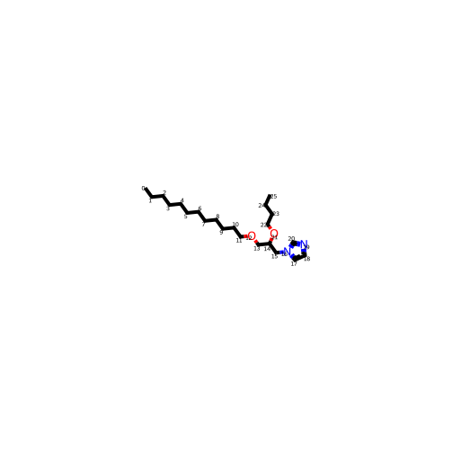 CCCCCCCCCCCCOCC(Cn1ccnc1)OCCCC